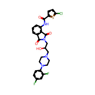 O=C(Nc1cccc2c1C(=O)N(CC(O)CN1CCN(c3ccc(F)cc3F)CC1)C2=O)c1ccc(Cl)s1